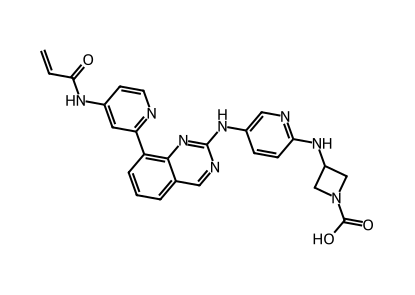 C=CC(=O)Nc1ccnc(-c2cccc3cnc(Nc4ccc(NC5CN(C(=O)O)C5)nc4)nc23)c1